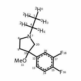 [2H]C([2H])([2H])C([2H])([2H])N1CCC(OC)(c2ccc(F)c(F)c2)C1